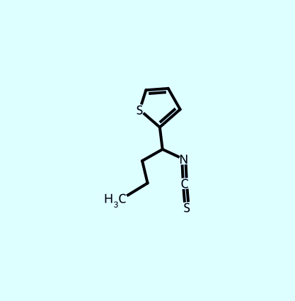 CCCC(N=C=S)c1cccs1